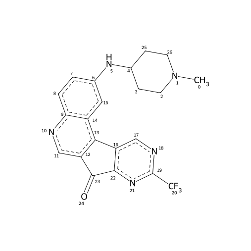 CN1CCC(Nc2ccc3ncc4c(c3c2)-c2cnc(C(F)(F)F)nc2C4=O)CC1